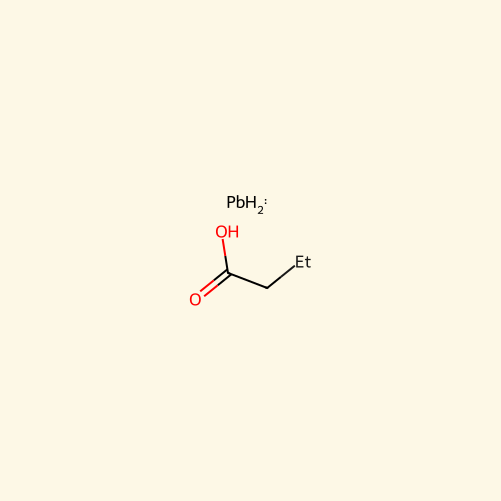 CCCC(=O)O.[PbH2]